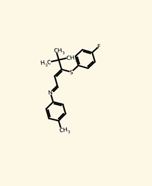 Cc1ccc(N=CC=C(Sc2ccc(F)cc2)C(C)(C)C)cc1